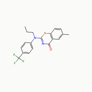 CCCN(c1ccc(C(F)(F)F)cc1)c1nc(=O)c2cc(C)ccc2s1